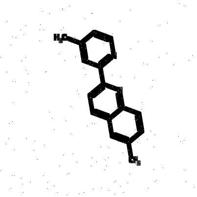 Cc1ccnc(-c2ccc3cc(C(F)(F)F)ccc3n2)c1